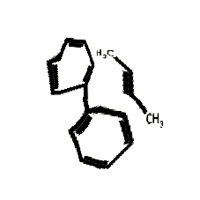 CC=CC.c1ccc(-c2ccccc2)cc1